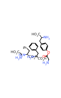 CC(C)C[C@H](N)C(=O)O.NCC(=O)O.NCC(=O)Oc1ccc(C[C@H](N)C(=O)O)cc1.N[C@@H](Cc1ccccc1)C(=O)O